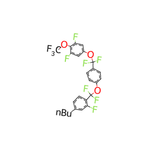 CCCCc1ccc(C(F)(F)Oc2ccc(C(F)(F)Oc3cc(F)c(OC(F)(F)F)c(F)c3)cc2)c(F)c1